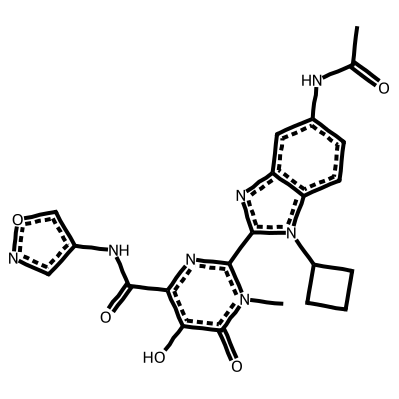 CC(=O)Nc1ccc2c(c1)nc(-c1nc(C(=O)Nc3cnoc3)c(O)c(=O)n1C)n2C1CCC1